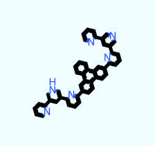 C1=C(c2cccc(-c3ccc4c5ccc(-c6cccc(-c7cncc(-c8ccccn8)c7)n6)cc5c5ccccc5c4c3)n2)C=C(c2ccccn2)CN1